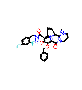 CN1CCCN2C(=O)c3c(OCc4ccccc4)c(=O)c(C(=O)NCc4ccc(F)cc4F)c4n3C(CC4)C12